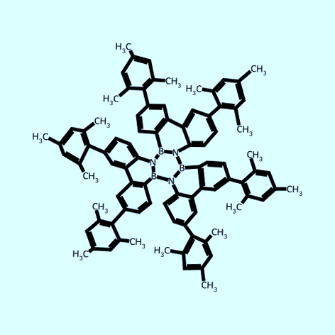 Cc1cc(C)c(-c2ccc3c(c2)-c2cc(-c4c(C)cc(C)cc4C)ccc2N2B3N3B(c4ccc(-c5c(C)cc(C)cc5C)cc4-c4cc(-c5c(C)cc(C)cc5C)ccc43)N3B2c2ccc(-c4c(C)cc(C)cc4C)cc2-c2cc(-c4c(C)cc(C)cc4C)ccc23)c(C)c1